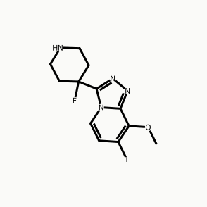 COc1c(I)ccn2c(C3(F)CCNCC3)nnc12